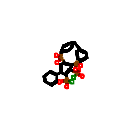 O=S(=O)(Cl)c1c(-c2ccccc2)cc2c(c1S(=O)(=O)Cl)S(=O)(=O)c1ccc(cc1)-c1ccc(cc1)S2(=O)=O